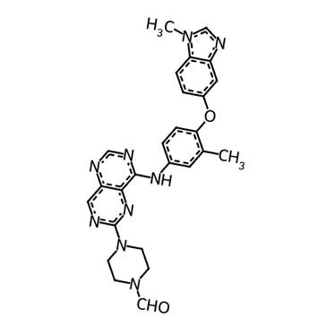 Cc1cc(Nc2ncnc3cnc(N4CCN(C=O)CC4)nc23)ccc1Oc1ccc2c(c1)ncn2C